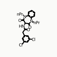 CCCN1C(=O)C(NC(=O)Cc2cc(Cl)cc(Cl)c2)C(=O)N(CCC)c2ccccc21